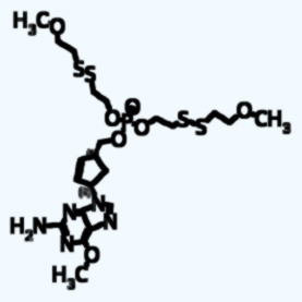 COCCSSCCOP(=O)(OCCSSCCOC)OC[C@@H]1C=C[C@H](n2cnc3c(OC)nc(N)nc32)C1